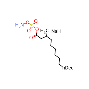 CCCCCCCCCCCCCCCCC(C)CC(=O)OS(=O)(=O)ON.[NaH]